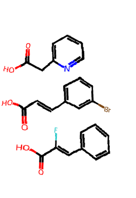 O=C(O)C(F)=Cc1ccccc1.O=C(O)C=Cc1cccc(Br)c1.O=C(O)Cc1ccccn1